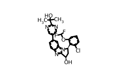 CC(C)(O)c1ncc(-c2ccc3nc4n(c3c2)[C@@H](c2c(Cl)cccc2OC(F)F)C[C@H]4O)cn1